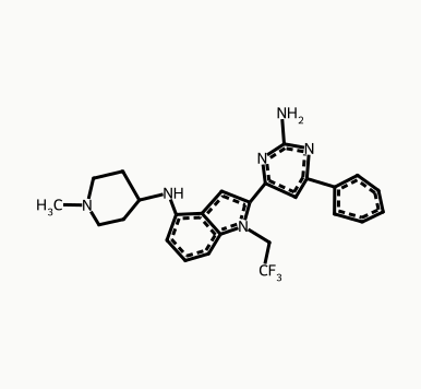 CN1CCC(Nc2cccc3c2cc(-c2cc(-c4ccccc4)nc(N)n2)n3CC(F)(F)F)CC1